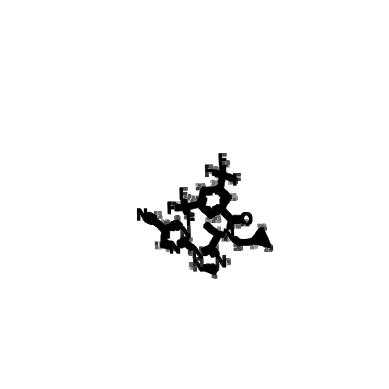 CC(c1ncnn1-c1ncc(C#N)cn1)N(CC1CC1)C(=O)c1cc(C(F)(F)F)cc(C(F)(F)F)c1